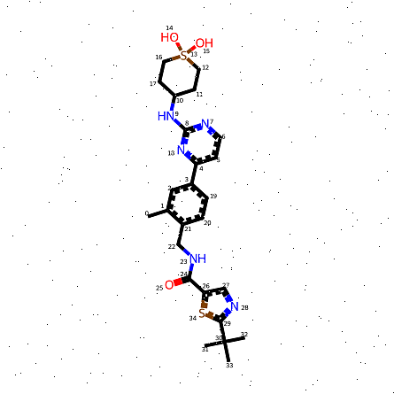 Cc1cc(-c2ccnc(NC3CCS(O)(O)CC3)n2)ccc1CNC(=O)c1cnc(C(C)(C)C)s1